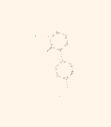 CCCn1cccc(-c2ccc(CBr)cc2)c1=O